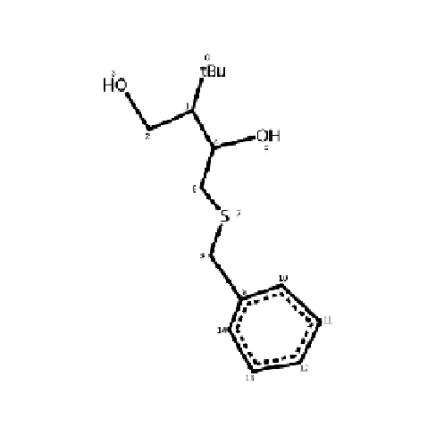 CC(C)(C)C(CO)C(O)CSCc1ccccc1